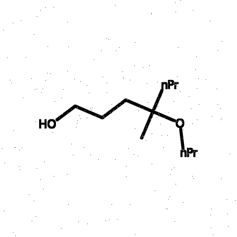 [CH2]CCC(C)(CCCO)OCCC